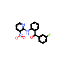 O=C(c1cccc(F)c1)c1ccccc1Nc1ncccc1[N+](=O)[O-]